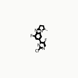 C[C@H]1CCc2nc3c(F)cc(-c4nc(Cl)ncc4F)cc3n21